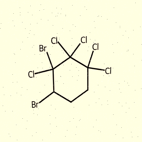 ClC1(Cl)CCC(Br)C(Cl)(Br)C1(Cl)Cl